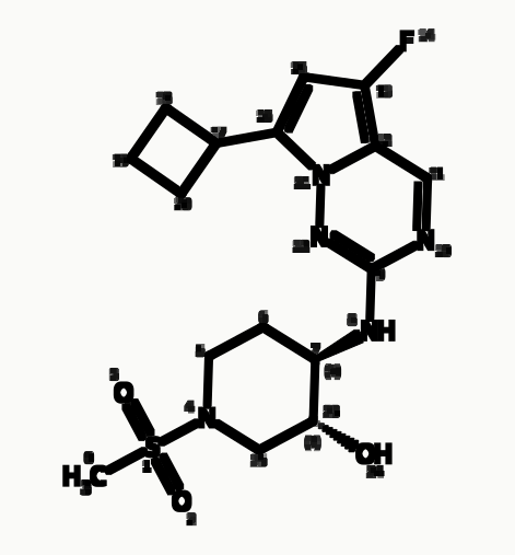 CS(=O)(=O)N1CC[C@@H](Nc2ncc3c(F)cc(C4CCC4)n3n2)[C@H](O)C1